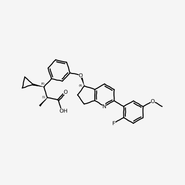 COc1ccc(F)c(-c2ccc3c(n2)CC[C@H]3Oc2cccc([C@H](C3CC3)[C@H](C)C(=O)O)c2)c1